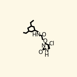 CCC1CC(CC)CC(CNC(=O)COc2nc(=O)[nH]cc2Cl)C1